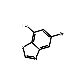 Oc1cc(Br)cc2ncsc12